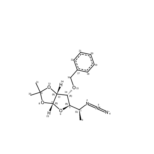 C[C@H](N=[N+]=[N-])[C@H]1O[C@@H]2OC(C)(C)O[C@@H]2[C@@H]1OCc1ccccc1